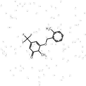 Cc1ccccc1COC1=CC(C(F)(F)F)=CC(=O)C1C